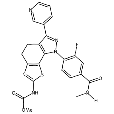 CCN(C)C(=O)c1ccc(-n2nc(-c3cccnc3)c3c2-c2sc(NC(=O)OC)nc2CC3)c(F)c1